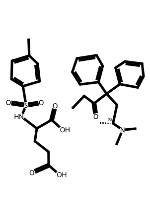 CCC(=O)C(C[C@@H](C)N(C)C)(c1ccccc1)c1ccccc1.Cc1ccc(S(=O)(=O)NC(CCC(=O)O)C(=O)O)cc1